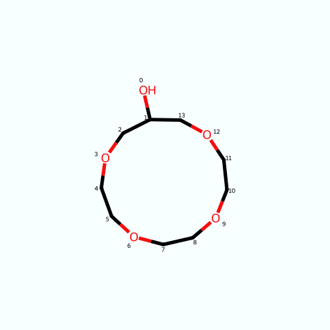 OC1COCCOCCOCCOC1